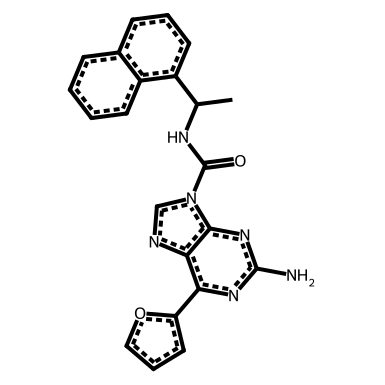 CC(NC(=O)n1cnc2c(-c3ccco3)nc(N)nc21)c1cccc2ccccc12